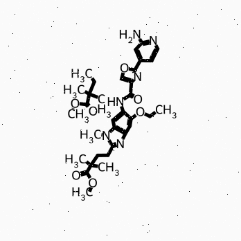 CCC(C)(C)C(=O)OC.CCOc1cc2nc(CCC(C)(C)C(=O)OC)n(C)c2cc1NC(=O)c1coc(-c2ccnc(N)c2)n1